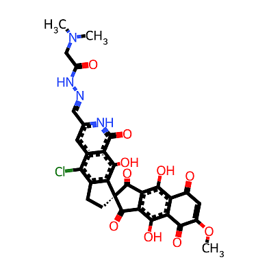 COC1=CC(=O)c2c(O)c3c(c(O)c2C1=O)C(=O)[C@]1(CCc2c1c(O)c1c(=O)[nH]c(/C=N/NC(=O)CN(C)C)cc1c2Cl)C3=O